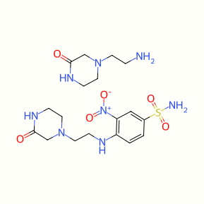 NCCN1CCNC(=O)C1.NS(=O)(=O)c1ccc(NCCN2CCNC(=O)C2)c([N+](=O)[O-])c1